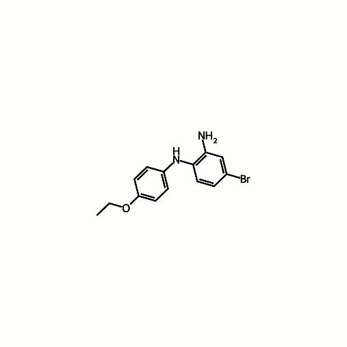 CCOc1ccc(Nc2ccc(Br)cc2N)cc1